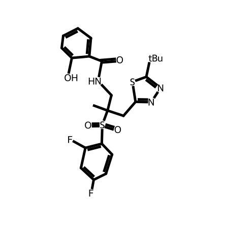 CC(C)(C)c1nnc(CC(C)(CNC(=O)c2ccccc2O)S(=O)(=O)c2ccc(F)cc2F)s1